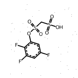 O=S(=O)(O)CS(=O)(=O)Oc1cc(F)cc(F)c1F